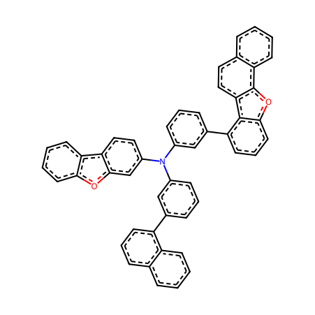 c1cc(-c2cccc3ccccc23)cc(N(c2cccc(-c3cccc4oc5c6ccccc6ccc5c34)c2)c2ccc3c(c2)oc2ccccc23)c1